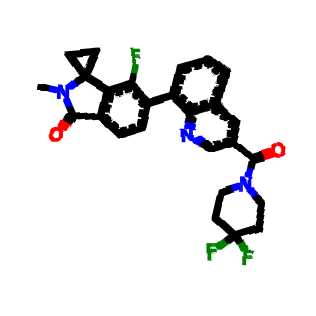 CN1C(=O)c2ccc(-c3cccc4cc(C(=O)N5CCC(F)(F)CC5)cnc34)c(F)c2C12CC2